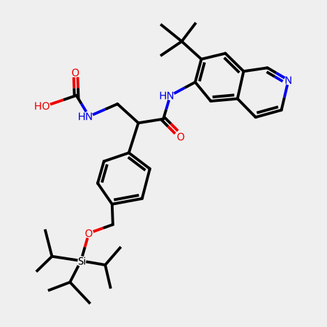 CC(C)[Si](OCc1ccc(C(CNC(=O)O)C(=O)Nc2cc3ccncc3cc2C(C)(C)C)cc1)(C(C)C)C(C)C